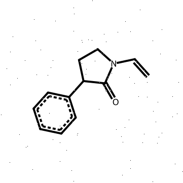 C=CN1CCC(c2ccccc2)C1=O